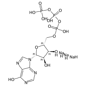 O=P(O)(O)OP(=O)(O)OP(=O)(O)OC[C@H]1O[C@@H](n2cnc3c(O)ncnc32)[C@H](O)[C@@H]1O.[NaH].[NaH].[NaH]